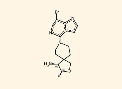 N[C@@H]1[C@H](F)OCC12CCN(c1ncc(Br)c3nccn13)CC2